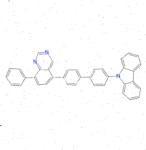 c1ccc(-c2ccc(-c3ccc(-c4ccc(-n5c6ccccc6c6ccccc65)cc4)cc3)c3cncnc23)cc1